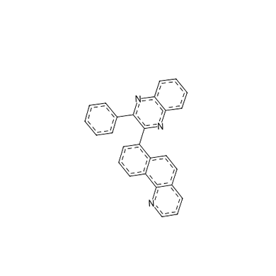 c1ccc(-c2nc3ccccc3nc2-c2cccc3c2ccc2cccnc23)cc1